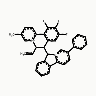 C=CC1C(C2c3ccccc3-c3ccc(-c4ccccc4)c[n+]32)c2cc(F)c(F)c(F)c2-c2ccc(C)c[n+]21